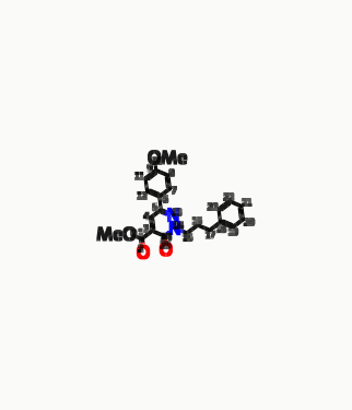 COC(=O)c1cc(-c2ccc(OC)cc2)nn(CCCc2ccccc2)c1=O